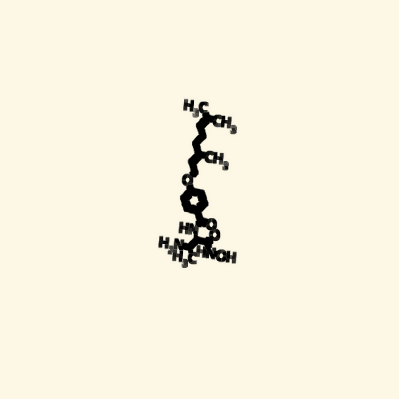 CC(C)=CCC/C(C)=C/COc1ccc(C(=O)N[C@H](C(=O)NO)[C@@H](C)N)cc1